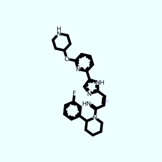 N=C(/C=C\c1ncc(-c2cccc(OC3CCNCC3)n2)[nH]1)N1CCCCC1c1cccc(F)c1